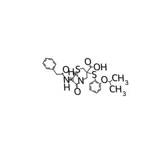 CC(C)Oc1ccccc1SC1(C(=O)O)CS[C@@H]2[C@H](NC(=O)Cc3ccccc3)C(=O)N2C1